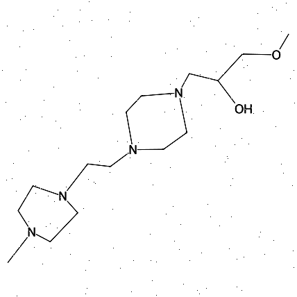 COCC(O)CN1CCN(CCN2CCN(C)CC2)CC1